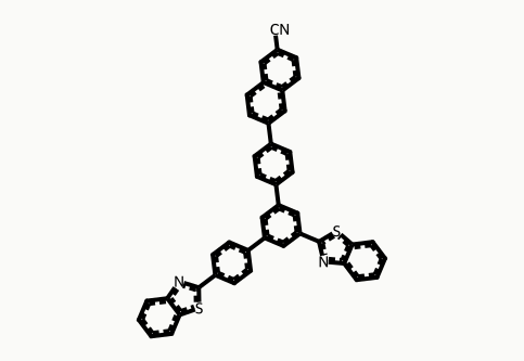 N#Cc1ccc2cc(-c3ccc(-c4cc(-c5ccc(-c6nc7ccccc7s6)cc5)cc(-c5nc6ccccc6s5)c4)cc3)ccc2c1